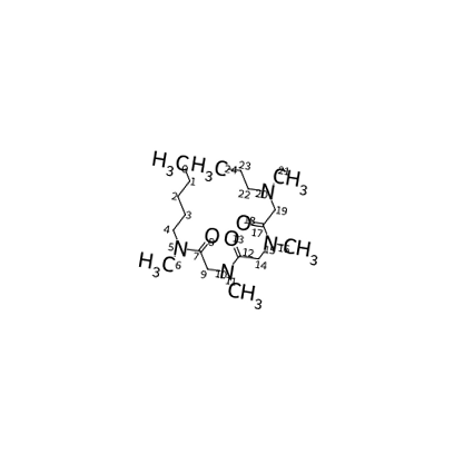 CCCCCN(C)C(=O)CN(C)C(=O)CN(C)C(=O)CN(C)CCC